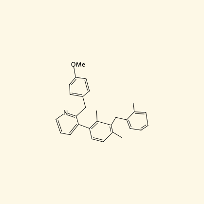 COc1ccc(Cc2ncccc2-c2ccc(C)c(Cc3ccccc3C)c2C)cc1